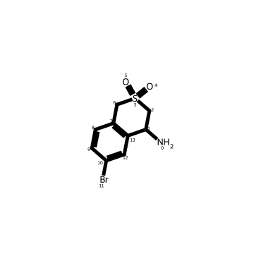 NC1CS(=O)(=O)Cc2ccc(Br)cc21